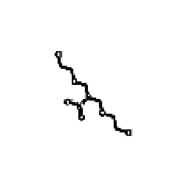 O=[N+]([O-])N(COCCCl)COCCCl